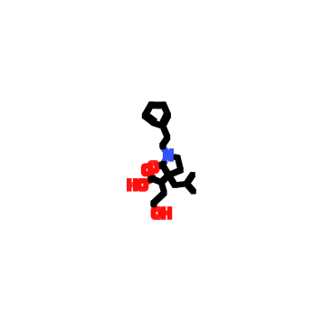 CC(C)CC1(C(CCO)C(=O)O)CCN(CCc2ccccc2)C1=O